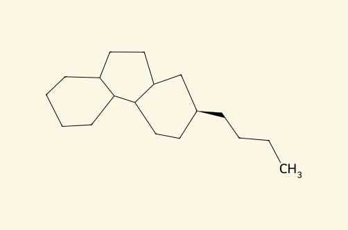 CCCC[C@H]1CCC2C(CCC3CCCCC32)C1